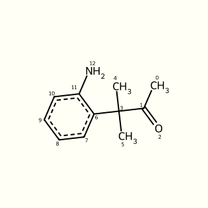 CC(=O)C(C)(C)c1ccccc1N